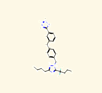 CCCCc1nc(C(F)(F)CCC)n(Cc2ccc(Cc3cccc(-c4nnn[nH]4)c3)cc2)n1